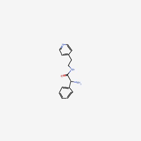 NC(C(=O)NCCc1ccncc1)c1ccccc1